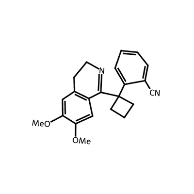 COc1cc2c(cc1OC)C(C1(c3ccccc3C#N)CCC1)=NCC2